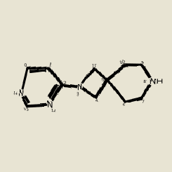 c1cc(N2CC3(CCNCC3)C2)ncn1